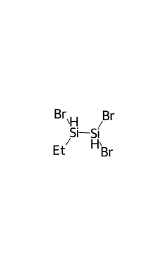 CC[SiH](Br)[SiH](Br)Br